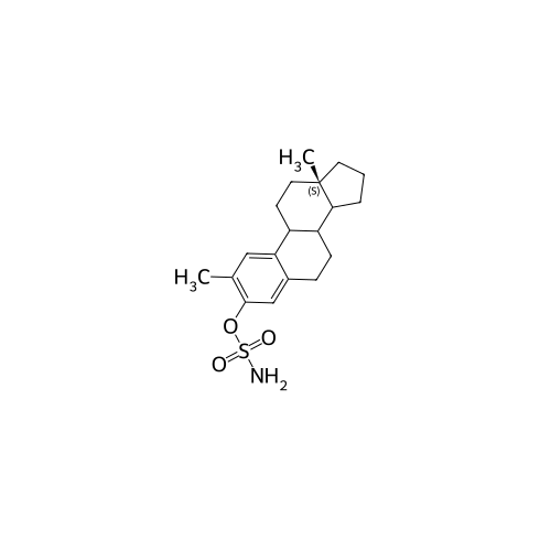 Cc1cc2c(cc1OS(N)(=O)=O)CCC1C2CC[C@]2(C)CCCC12